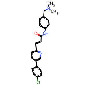 CN(C)Cc1ccc(NC(=O)/C=C/c2ccc(-c3ccc(Cl)cc3)cn2)cc1